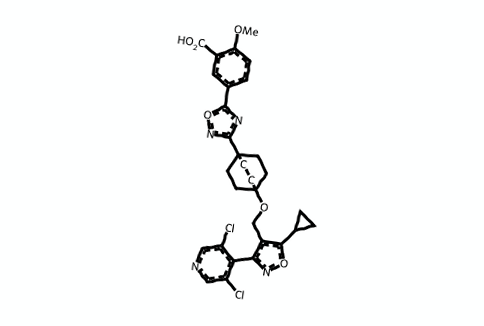 COc1ccc(-c2nc(C34CCC(OCc5c(-c6c(Cl)cncc6Cl)noc5C5CC5)(CC3)CC4)no2)cc1C(=O)O